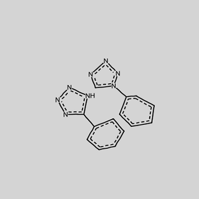 c1ccc(-c2nnn[nH]2)cc1.c1ccc(-n2cnnn2)cc1